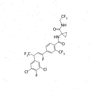 O=C(NC1(C(=O)NCC(F)(F)F)CC1)c1ccc(/C(F)=C/C(c2cc(Cl)c(F)c(Cl)c2)C(F)(F)F)cc1C(F)(F)F